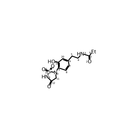 CCC(=O)NCCc1ccc(N2CC(=O)NS2(=O)=O)c(O)c1